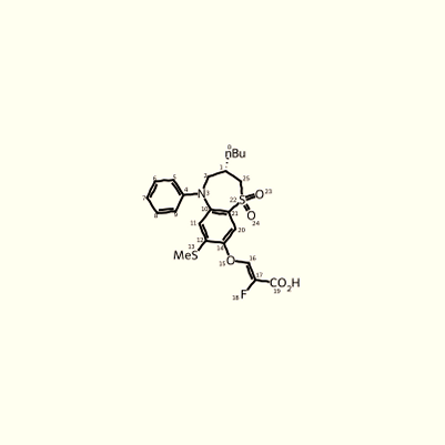 CCCC[C@H]1CN(c2ccccc2)c2cc(SC)c(O/C=C(\F)C(=O)O)cc2S(=O)(=O)C1